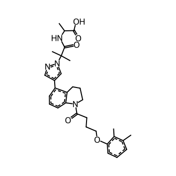 Cc1cccc(OCCCC(=O)N2CCCc3c(-c4cnn(C(C)(C)C(=O)NC(C)C(=O)O)c4)cccc32)c1C